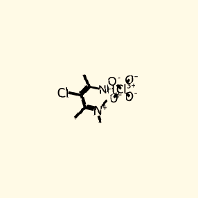 CC(N)=C(Cl)C(C)=[N+](C)C.[O-][Cl+3]([O-])([O-])[O-]